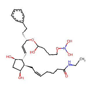 CCNC(=O)CCC/C=C\C[C@@H]1[C@@H](/C=C/[C@H](CCc2ccccc2)OC(O)CCCON(O)O)[C@H](O)C[C@@H]1O